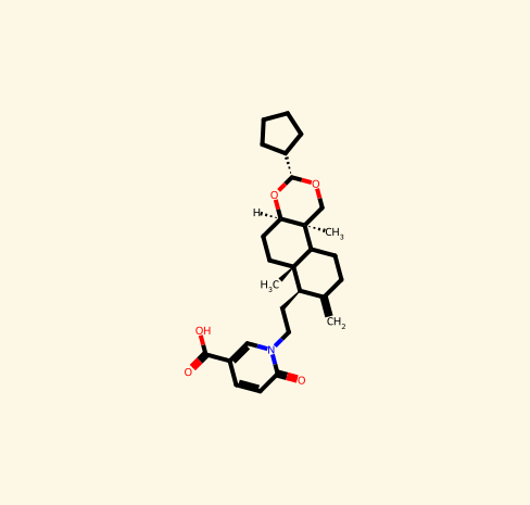 C=C1CCC2[C@]3(C)CO[C@@H](C4CCCC4)O[C@@H]3CC[C@@]2(C)[C@@H]1CCn1cc(C(=O)O)ccc1=O